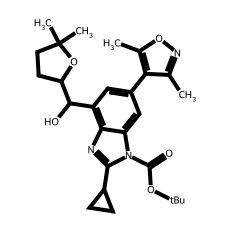 Cc1noc(C)c1-c1cc(C(O)C2CCC(C)(C)O2)c2nc(C3CC3)n(C(=O)OC(C)(C)C)c2c1